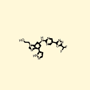 OCCn1cnc2c(-c3ccn[nH]3)cc(Nc3ncc(-c4nnc(C(F)F)o4)cn3)cc21